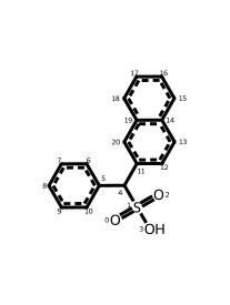 O=S(=O)(O)C(c1ccccc1)c1ccc2ccccc2c1